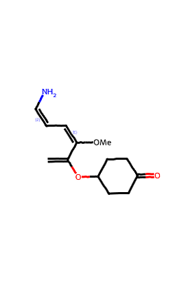 C=C(OC1CCC(=O)CC1)/C(=C\C=C/N)OC